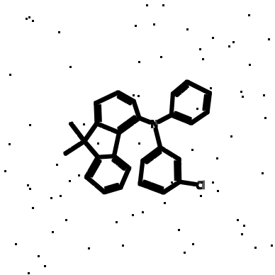 CC1(C)c2ccccc2-c2c(N(c3ccccc3)c3cccc(Cl)c3)cccc21